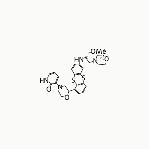 COC[C@H](CN1CCO[C@@H](C)C1)Nc1ccc2c(c1)Sc1cccc(C3CN(c4ccc[nH]c4=O)CCO3)c1S2